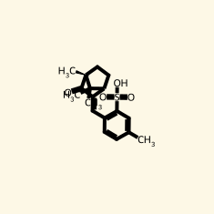 Cc1ccc(C=C2C(=O)[C@]3(C)CCC2C3(C)C)c(S(=O)(=O)O)c1